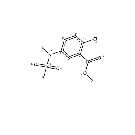 COC(=O)c1cc(N(C)S(C)(=O)=O)ccc1Cl